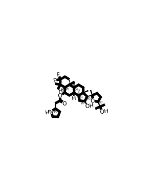 CC(C)(O)[C@@H]1CC[C@@](C)([C@H]2[C@@H](O)C[C@@]3(C)[C@@H]4CC(OC(=O)C[C@H]5CCCN5)[C@H]5C(C)(C)C(F)(F)CC[C@@]56C[C@@]46CC[C@]23C)O1